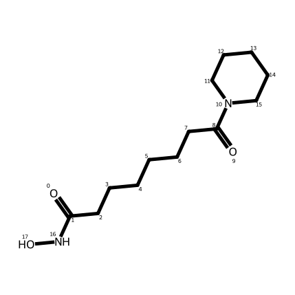 O=C(CCCCCCC(=O)N1CCCCC1)NO